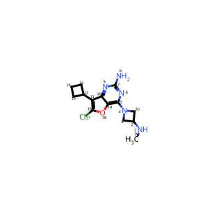 CNC1CN(c2nc(N)nc3c(C4CCC4)c(Cl)oc23)C1